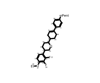 CCCCCc1ccc(C2=CCC(C3CCC(c4ccc(OCC)c(F)c4F)CO3)CC2)cc1